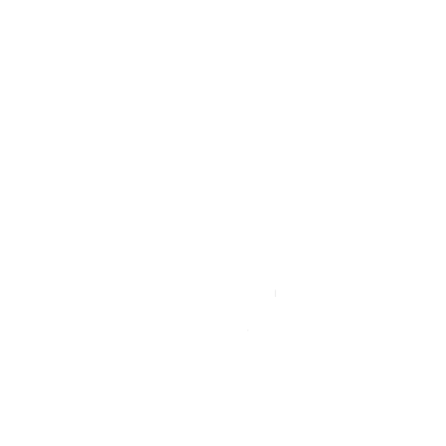 CSC(F)OOOOOOOOO